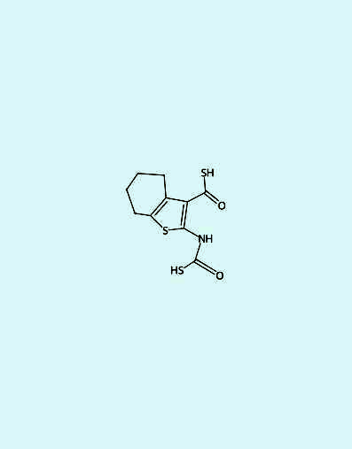 O=C(S)Nc1sc2c(c1C(=O)S)CCCC2